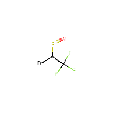 [CH2]CC([S+]=O)C(F)(F)F